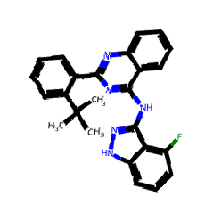 CC(C)(C)c1ccccc1-c1nc(Nc2n[nH]c3cccc(F)c23)c2ccccc2n1